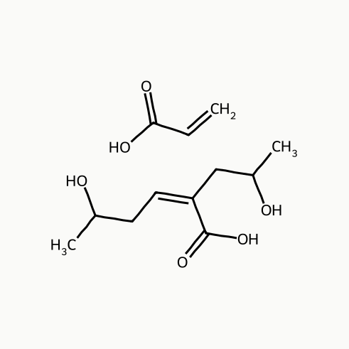 C=CC(=O)O.CC(O)CC=C(CC(C)O)C(=O)O